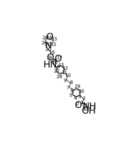 O=C(Cc1ccc(CCCCc2ccc(NC(=O)OCCN3CCOCC3)cc2)cc1)NO